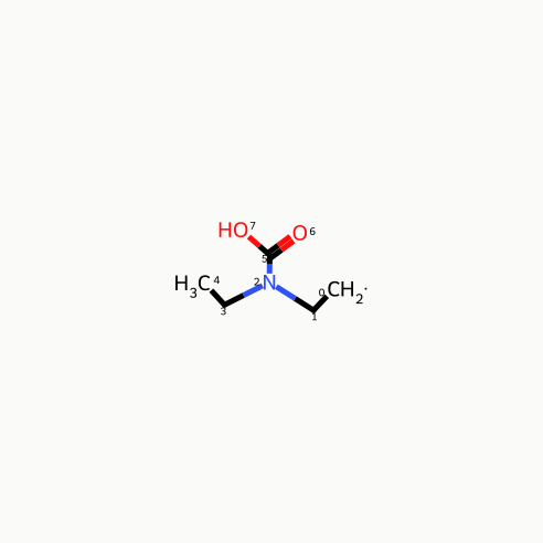 [CH2]CN(CC)C(=O)O